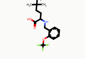 CC(C)(C)CCC(NCc1ccccc1OC(F)(F)F)C(=O)O